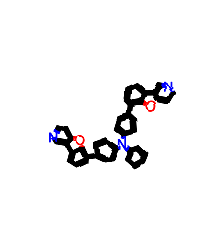 c1ccc(N(c2ccc(-c3cccc4c3oc3ccncc34)cc2)c2ccc(-c3cccc4c3oc3ccncc34)cc2)cc1